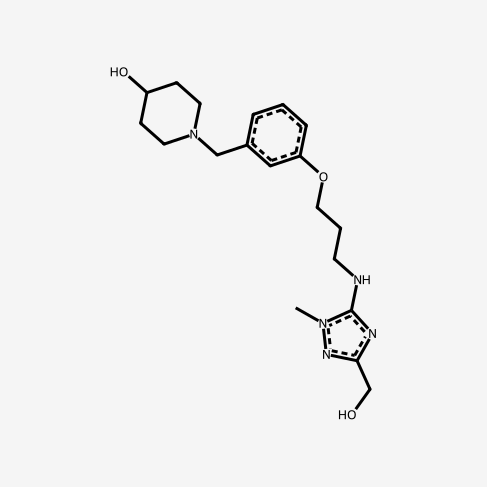 Cn1nc(CO)nc1NCCCOc1cccc(CN2CCC(O)CC2)c1